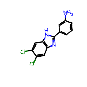 Nc1cccc(-c2nc3cc(Cl)c(Cl)cc3[nH]2)c1